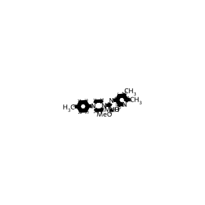 CONC(=Nc1cc(C)c(C)nc1OC)N1CCN(c2ccc(C)cc2)CC1